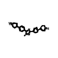 Cn1nc(-c2ccc(C3=CCNCC3)cc2)nc1-c1ccc(C2=CCNCC2)cc1